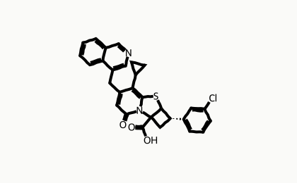 O=C(O)C12C[C@@H](c3cccc(Cl)c3)C1Sc1c(C3CC3)c(Cc3cncc4ccccc34)cc(=O)n12